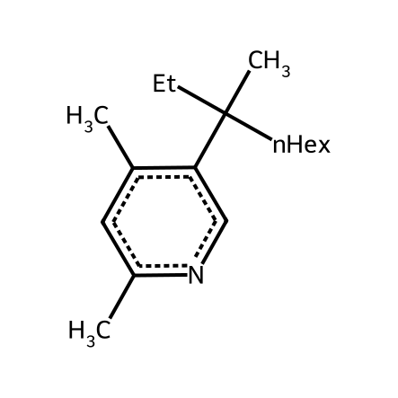 CCCCCCC(C)(CC)c1cnc(C)cc1C